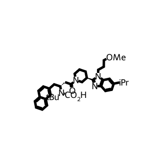 COCCCn1c([C@@H]2CCCN(C(=O)C[C@@H](Cc3ccc4ccccc4c3)N(C(=O)O)C(C)(C)C)C2)nc2ccc(C(C)C)cc21